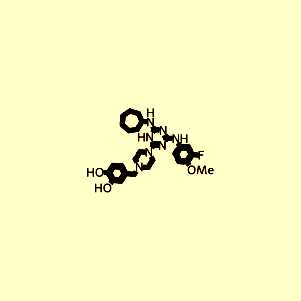 COc1ccc(NC2=NC(NC3CCCCCC3)NC(N3CCN(Cc4ccc(O)c(O)c4)CC3)=N2)cc1F